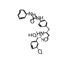 O=C(Nc1ccccc1)Nc1ccc(C[C@@H](CO)NC[C@H](O)c2cccc(Cl)c2)cc1